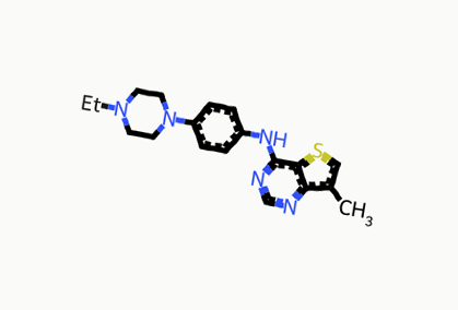 CCN1CCN(c2ccc(Nc3ncnc4c(C)csc34)cc2)CC1